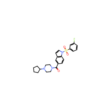 O=C(c1ccc2c(ccn2S(=O)(=O)c2cccc(F)c2)c1)N1CCN(C2CCCC2)CC1